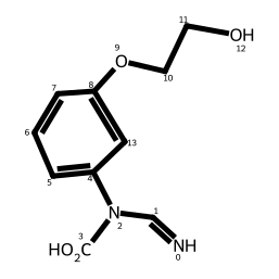 N=CN(C(=O)O)c1cccc(OCCO)c1